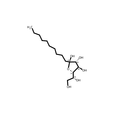 CCCCCCCCCC[C@@]1(O)O[C@@H]([C@H](O)CO)[C@H](O)[C@H]1O